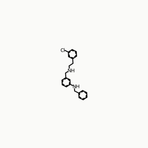 Clc1cccc(CCNCc2cccc(NCc3ccccc3)c2)c1